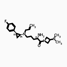 C=CCN(CCC[C@H](N)C(=O)N1CC(N(C)C)C1)[C@@H]1C[C@H]1c1ccc(F)cc1